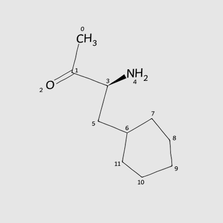 CC(=O)[C@@H](N)CC1CCCCC1